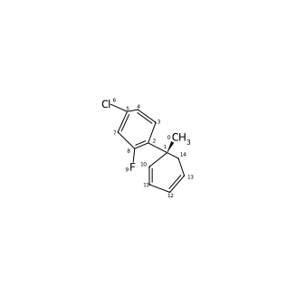 C[C@]1(c2ccc(Cl)cc2F)C=CC=CC1